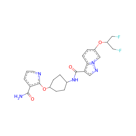 NC(=O)c1cccnc1OC1CCC(NC(=O)c2cnn3cc(OC(CF)CF)ccc23)CC1